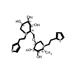 C[C@@H]1[C@@H](O)[C@H](O)[C@@H](OC[C@@H]2[C@@H](O)[C@H](O)[C@@H](O)CN2CCc2ccsc2)CN1CCc1cccs1